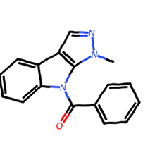 Cn1ncc2c3ccccc3n(C(=O)c3ccccc3)c21